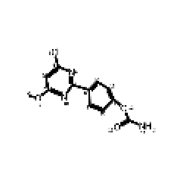 COc1cc(Cl)nc(-c2ccc(OC(N)=O)cc2)n1